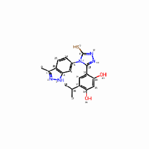 Cc1n[nH]c2cc(-n3c(S)nnc3-c3cc(C(C)C)c(O)cc3O)ccc12